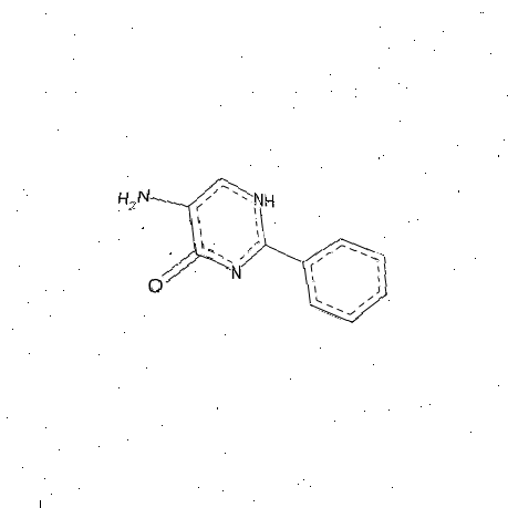 Nc1c[nH]c(-c2ccccc2)nc1=O